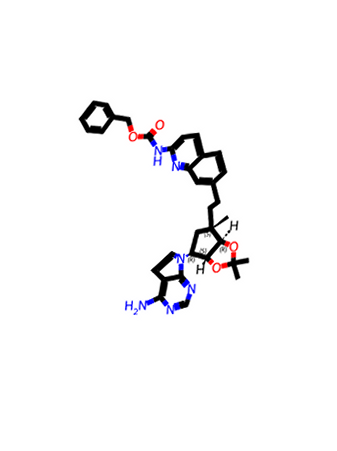 CC1(C)O[C@H]2[C@H](n3ccc4c(N)ncnc43)C[C@](C)(CCc3ccc4ccc(NC(=O)OCc5ccccc5)nc4c3)[C@H]2O1